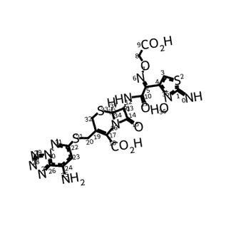 N=c1scc(C(=NOCC(=O)O)C(=O)N[C@@H]2C(=O)N3C(C(=O)O)=C(CSc4cc(N)c5nnnn5n4)CS[C@@H]23)n1O